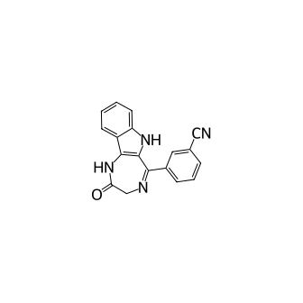 N#Cc1cccc(C2=NCC(=O)Nc3c2[nH]c2ccccc32)c1